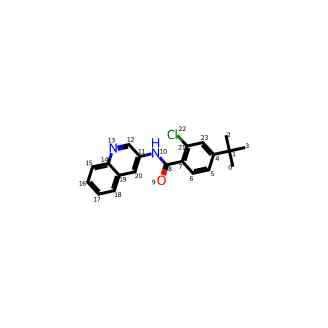 CC(C)(C)c1ccc(C(=O)Nc2cnc3ccccc3c2)c(Cl)c1